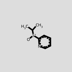 CC(C)[S+]([O-])c1ccccn1